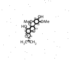 C=C(C)[C@H]1Cc2c(cc(O)c3c(=O)c(-c4cc(OC)c(O)cc4OC)coc23)O1